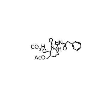 CC(=O)OCC1=C(OC(=O)O)N2C(=O)[C@@H](NC(=O)Cc3ccccc3)[C@@H]2SC1